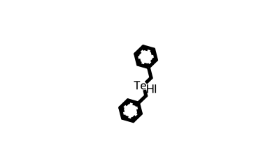 I.c1ccc(C[Te]Cc2ccccc2)cc1